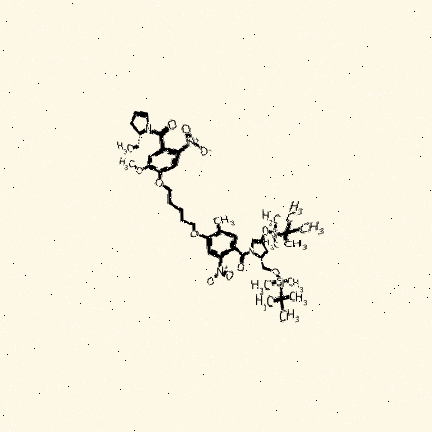 CC[C@@H]1CC=CN1C(=O)c1cc(OC)c(OCCCCCOc2cc([N+](=O)[O-])c(C(=O)N3C=C(O[Si](C)(C)C(C)(C)C)C[C@H]3CO[Si](C)(C)C(C)(C)C)cc2C)cc1[N+](=O)[O-]